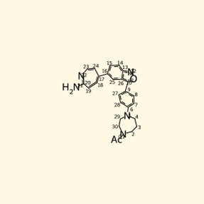 CC(=O)N1CCCN(c2ccc(-c3onc4ccc(C5=C=CC(N)=NC=C5)cc34)cc2)CC1